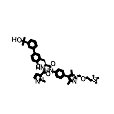 Cc1nn(COCC[Si](C)(C)C)c(C)c1-c1ccc(NC(=O)[C@H](Cc2cc(-c3cccc(C(C)(C)O)c3)ccc2Cl)NC(=O)c2ccnn2C)cc1